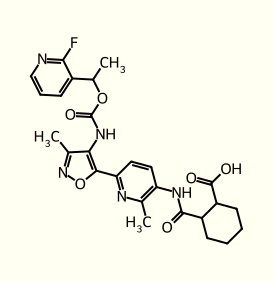 Cc1nc(-c2onc(C)c2NC(=O)OC(C)c2cccnc2F)ccc1NC(=O)C1CCCCC1C(=O)O